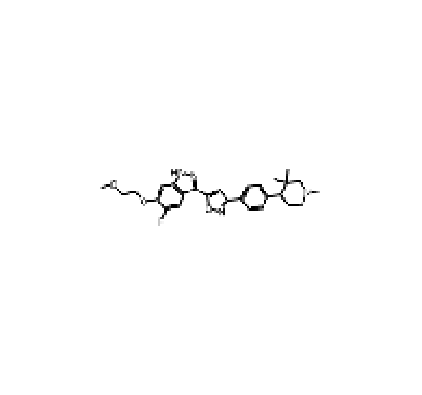 COCCOc1cc2[nH]nc(-c3cc(-c4ccc(C5CCN(C)CC5(C)C)cc4)no3)c2cc1F